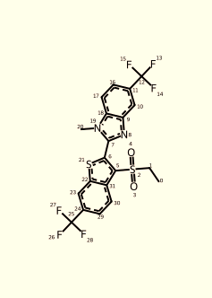 CCS(=O)(=O)c1c(-c2nc3cc(C(F)(F)F)ccc3n2C)sc2cc(C(F)(F)F)ccc12